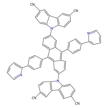 [C-]#[N+]c1ccc2c(c1)c1cc(C#N)ccc1n2-c1ccc2c(-c3ccc(-c4ccccn4)cc3)c3cc(-n4c5ccc(C#N)cc5c5cc([N+]#[C-])ccc54)ccc3c(-c3ccc(-c4ccccn4)cc3)c2c1